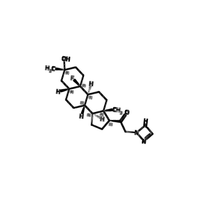 C[C@@]1(O)CC[C@@]2(F)[C@H](CC[C@H]3[C@@H]4CC[C@H](C(=O)Cn5nc[nH]5)[C@@]4(C)CC[C@@H]32)C1